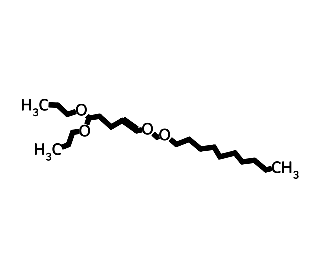 CCCCCCCCCCOCOC=CCCC(OCCC)OCCC